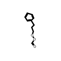 O=[C]OOCCCc1ccccc1